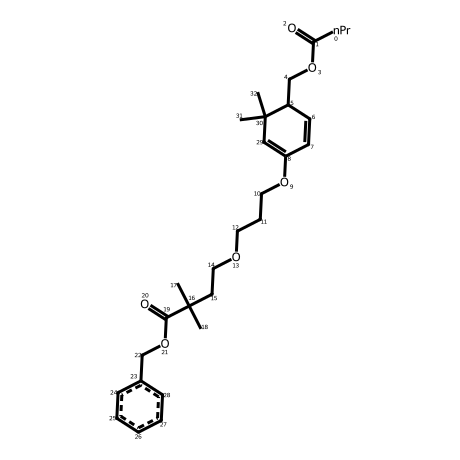 CCCC(=O)OCC1C=CC(OCCCOCCC(C)(C)C(=O)OCc2ccccc2)=CC1(C)C